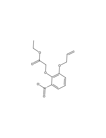 C=CCOc1cccc([N+](=O)[O-])c1OCC(=O)OCC